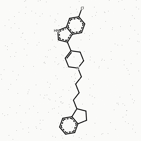 Clc1ccc2c(C3=CCN(CCCCC4CCc5ccccc54)CC3)c[nH]c2c1